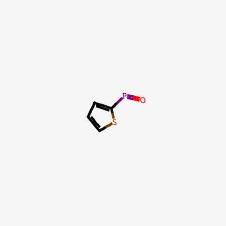 O=Pc1cccs1